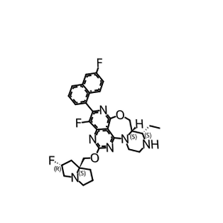 CC[C@@H]1NCCN2c3nc(OC[C@@]45CCCN4C[C@H](F)C5)nc4c(F)c(-c5cccc6cc(F)ccc56)nc(c34)OC[C@H]12